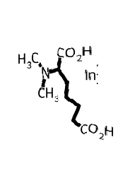 CN(C)C(CCCCC(=O)O)C(=O)O.[In]